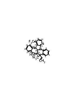 C=CC1(C)c2ccccc2N2c3nccc(C(F)(F)F)c3N(c3ccccc3C)C2C1C